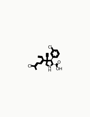 C#CC1(/C(C=C)=C/C=C(\C)Cl)CN[C@@H](C(=O)O)[C@@H]1c1cccc(Cl)c1